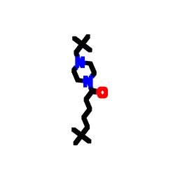 CC(C)(C)CCCCC(=O)N1CCN(CC(C)(C)C)CC1